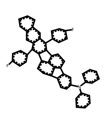 Fc1ccc(-c2c3c(c(-c4ccc(F)cc4)c4cc5ccccc5cc24)-c2ccc4c5c(ccc-3c25)-c2ccc(N(c3ccccc3)c3ccccc3)cc2-4)cc1